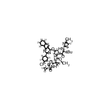 C=C[C@@H]1C[C@]1(NC(=O)[C@@H]1C[C@@H](Oc2nc(-c3ccc(C(F)(F)F)cc3)nc3c2sc2ccccc23)CN1C(=O)[C@@H](Nc1nc(C)cs1)C(C)(C)C)C(=O)NS(=O)(=O)C1CC1